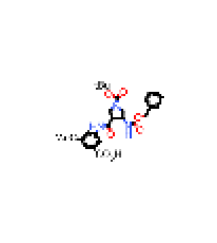 COc1cc(NC(=O)C2CN(C(=O)OC(C)(C)C)CC2NC(=O)OCc2ccccc2)cc(C(=O)O)c1